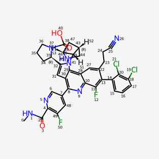 CNC(=O)c1ncc(-c2nc3c(F)c(-c4cccc(Cl)c4Cl)c(CCC#N)cc3c3c2cc([C@H]2CCCN2C(=O)O)n3[C@H]2[C@H]3CN[C@@H]2C3)cc1F